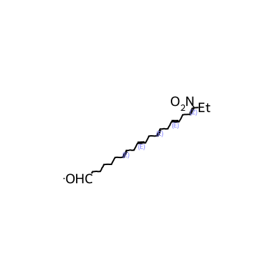 CC/C(=C/C/C=C/C/C=C/C/C=C/C/C=C/CCCCC[C]=O)[N+](=O)[O-]